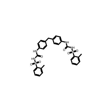 Cc1ccccc1S(=O)(=O)NC(=O)Nc1ccc(Cc2ccc(NC(=O)NS(=O)(=O)c3ccccc3C)cc2)cc1